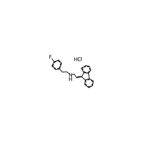 Cl.Fc1ccc(CCNCC=C2c3ccccc3-c3ccccc32)cc1